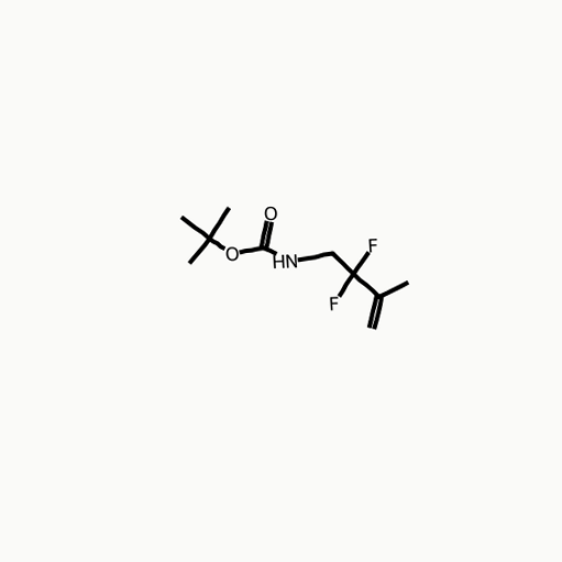 C=C(C)C(F)(F)CNC(=O)OC(C)(C)C